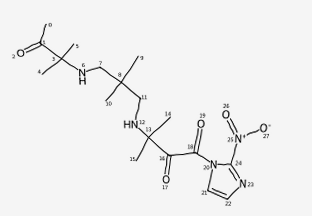 CC(=O)C(C)(C)NCC(C)(C)CNC(C)(C)C(=O)C(=O)n1ccnc1[N+](=O)[O-]